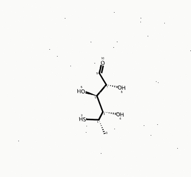 C[C@H](S)[C@@H](O)[C@@H](O)[C@@H](O)C=O